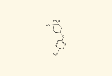 CCCC1(C(=O)O)CCC(Oc2ccc([N+](=O)[O-])cn2)CC1